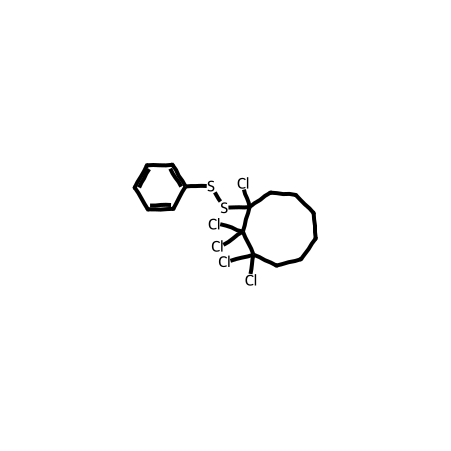 ClC1(Cl)CCCCCCC(Cl)(SSc2ccccc2)C1(Cl)Cl